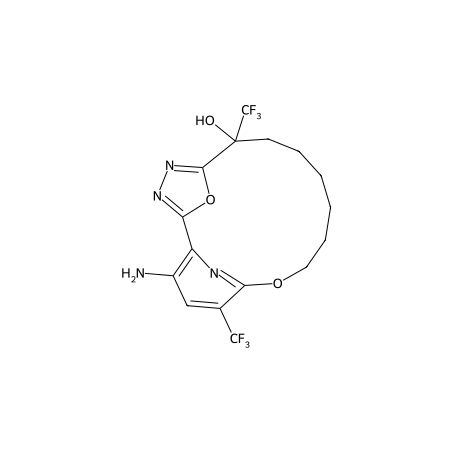 Nc1cc(C(F)(F)F)c2nc1-c1nnc(o1)C(O)(C(F)(F)F)CCCCCCO2